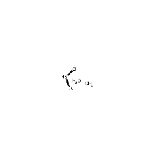 CCBCl.O.O